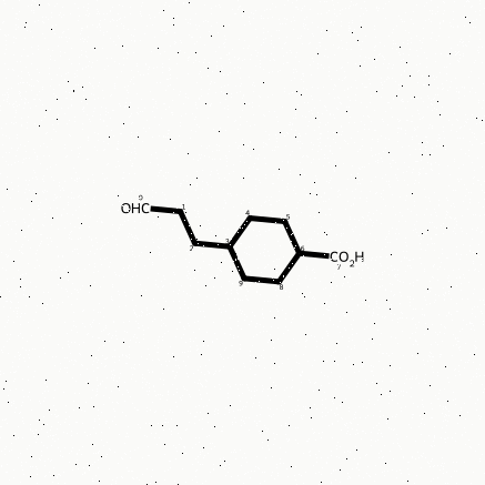 O=CCCC1CCC(C(=O)O)CC1